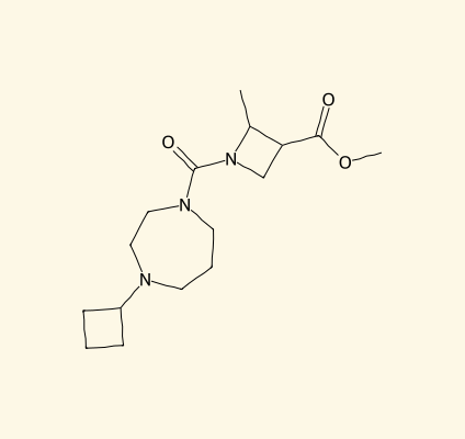 COC(=O)C1CN(C(=O)N2CCCN(C3CCC3)CC2)C1C